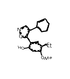 CCc1cc(-c2oncc2C2=CCCC=C2)c(O)cc1OC